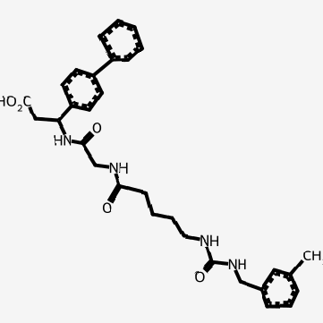 Cc1cccc(CNC(=O)NCCCCC(=O)NCC(=O)NC(CC(=O)O)c2ccc(-c3ccccc3)cc2)c1